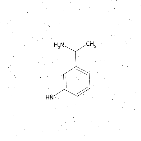 CC(N)c1cccc([NH])c1